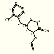 C=CCC1CN(Cc2ccccc2Cl)CCC1=O